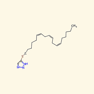 CCCCC/C=C\C/C=C\C/C=C\CCCCCSc1cnn[nH]1